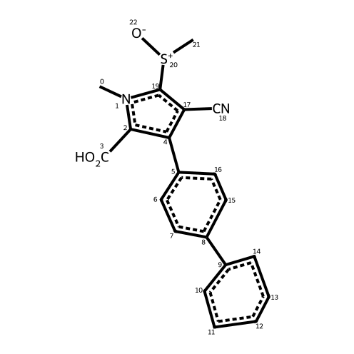 Cn1c(C(=O)O)c(-c2ccc(-c3ccccc3)cc2)c(C#N)c1[S+](C)[O-]